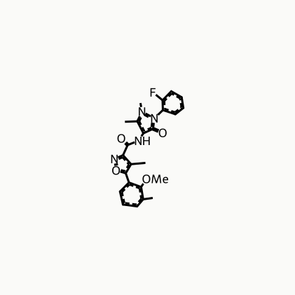 COc1c(C)cccc1-c1onc(C(=O)Nc2c(C)n(C)n(-c3ccccc3F)c2=O)c1C